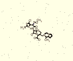 CO/N=C(\C(=O)N[C@@H]1C(=O)N2C(C(=O)[O-])=C(Cn3cc[n+]4cccc-4c3C)CS[C@@H]12)c1nc(N)sc1Cl